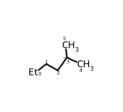 CCCC[C](C)C